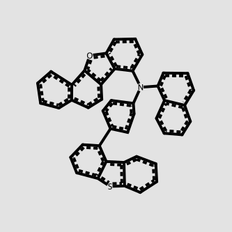 c1ccc2c(N(c3ccc(-c4cccc5sc6ccccc6c45)cc3)c3cccc4oc5c6ccccc6ccc5c34)cccc2c1